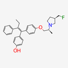 CCC(=C(c1ccc(O)cc1)c1ccc(OC[C@H](C)N2CC[C@@H](CF)C2)cc1)c1ccccc1